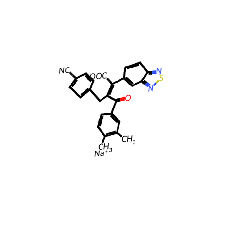 Cc1ccc(C(=O)C(Cc2ccc(C#N)cc2)=C(C(=O)[O-])c2ccc3nsnc3c2)cc1C.[Na+]